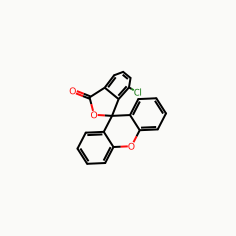 O=C1OC2(c3ccccc3Oc3ccccc32)c2c(Cl)cccc21